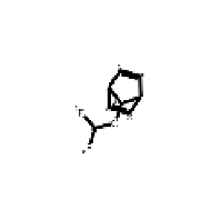 FC(F)OC1C2C=CC1C=C2